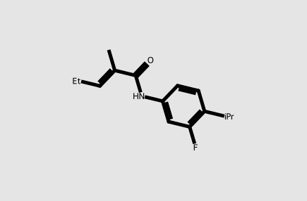 CCC=C(C)C(=O)Nc1ccc(C(C)C)c(F)c1